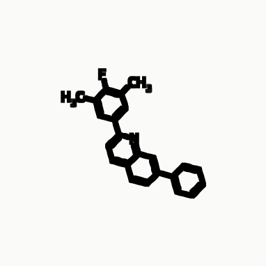 Cc1cc(-c2ccc3ccc(-c4ccccc4)cc3n2)cc(C)c1F